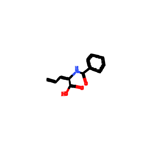 C=CC=C(NC(=O)c1ccccc1)C(=O)O